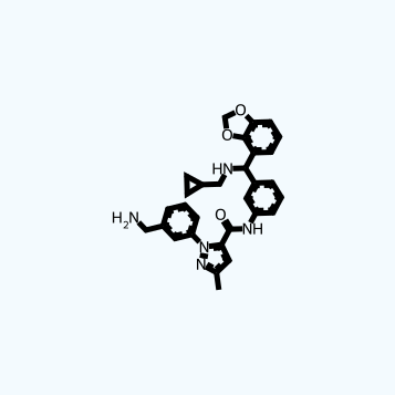 Cc1cc(C(=O)Nc2cccc(C(NCC3CC3)c3cccc4c3OCO4)c2)n(-c2cccc(CN)c2)n1